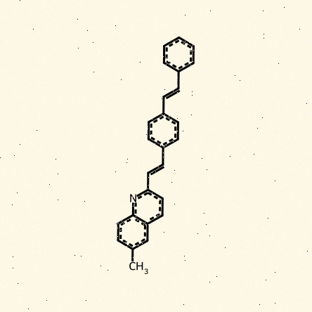 Cc1ccc2nc(C=Cc3ccc(C=Cc4ccccc4)cc3)ccc2c1